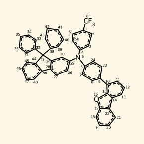 FC(F)(F)c1ccc(N(c2ccc(-c3cccc4c3oc3ccccc34)cc2)c2ccc3c(c2)C(c2ccccc2)(c2ccccc2)c2ccccc2-3)cc1